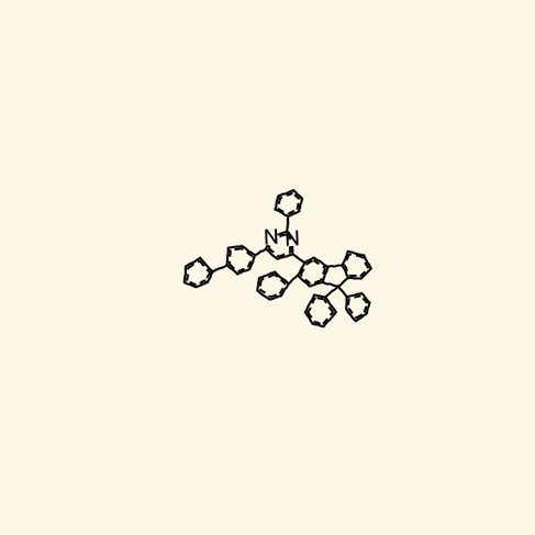 c1ccc(-c2ccc(-c3cc(-c4cc5c(cc4-c4ccccc4)C(c4ccccc4)(c4ccccc4)c4ccccc4-5)nc(-c4ccccc4)n3)cc2)cc1